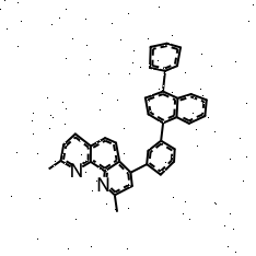 Cc1ccc2ccc3c(-c4cccc(-c5ccc(-c6ccccc6)c6ccccc56)c4)cc(C)nc3c2n1